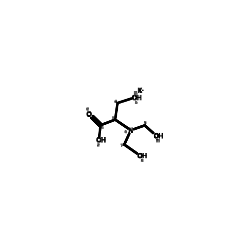 O=C(O)C(CO)N(CO)CO.[K]